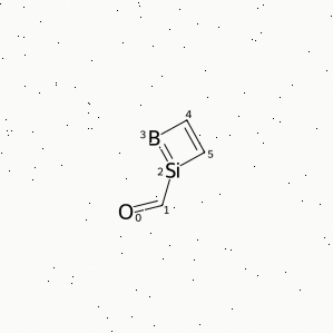 O=C[Si]1=BC=C1